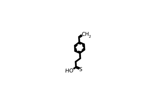 C=Cc1ccc(CCC(O)=S)cc1